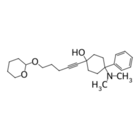 CN(C)C1(c2ccccc2)CCC(O)(C#CCCCOC2CCCCO2)CC1